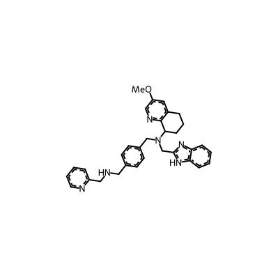 COc1cnc2c(c1)CCCC2N(Cc1ccc(CNCc2ccccn2)cc1)Cc1nc2ccccc2[nH]1